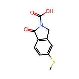 CSc1ccc2c(c1)CN(C(=O)O)C2=O